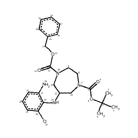 CC(C)(C)OC(=O)N1CCN(C(=O)OCc2ccccc2)CC(Nc2c(N)cccc2Cl)C1